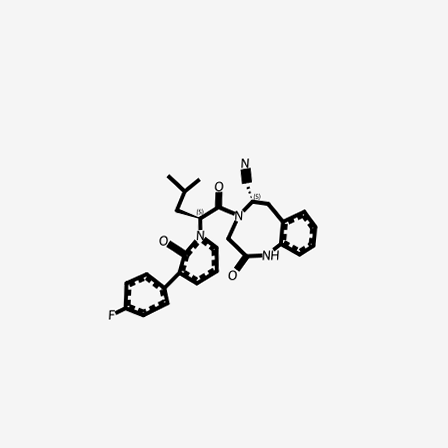 CC(C)C[C@@H](C(=O)N1CC(=O)Nc2ccccc2C[C@H]1C#N)n1cccc(-c2ccc(F)cc2)c1=O